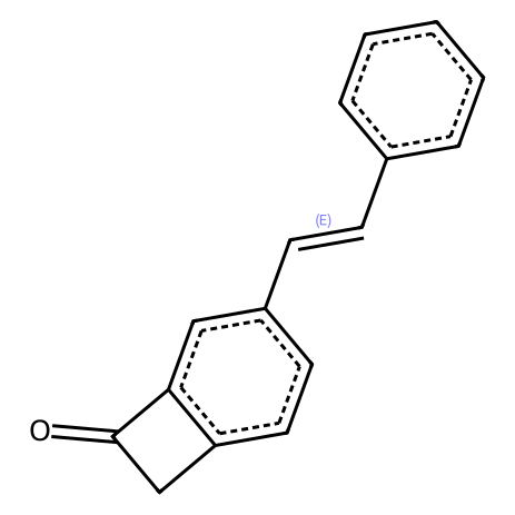 O=C1Cc2ccc(/C=C/c3ccccc3)cc21